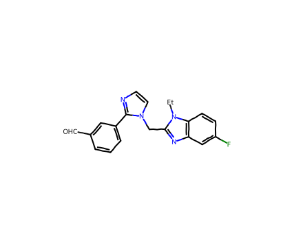 CCn1c(Cn2ccnc2-c2cccc(C=O)c2)nc2cc(F)ccc21